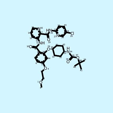 COCCOc1ccc(C(=O)Nc2cccnc2C(=O)Nc2ccc(Cl)cn2)c(O[C@H]2CC[C@@H](NC(=O)OC(C)(C)C)CC2)c1